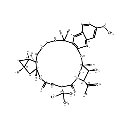 COc1ccc2nc3c(nc2c1)O[C@H]1CN(C(=O)[C@H](C(C)(C)C)NC(=O)O[C@@H]2C[C@@H]4C[C@@H]4[C@H]2CCCCC3(F)F)[C@H](C(=O)O)[C@@H]1C